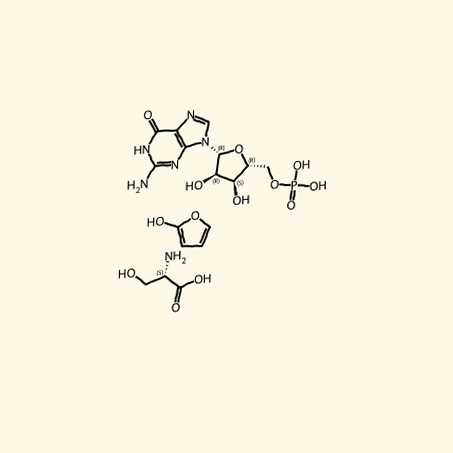 N[C@@H](CO)C(=O)O.Nc1nc2c(ncn2[C@@H]2O[C@H](COP(=O)(O)O)[C@@H](O)[C@H]2O)c(=O)[nH]1.Oc1ccco1